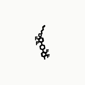 C=CCCCOc1ccc(C2CCC(c3ccc(C)c(F)c3F)CC2)c(F)c1F